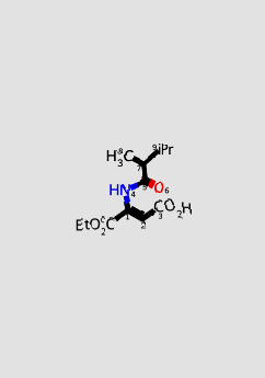 CCOC(=O)C(=CC(=O)O)NC(=O)C(C)C(C)C